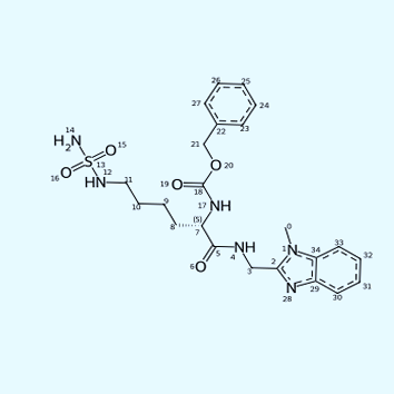 Cn1c(CNC(=O)[C@H](CCCCNS(N)(=O)=O)NC(=O)OCc2ccccc2)nc2ccccc21